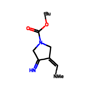 CN/C=C1/CN(C(=O)OC(C)(C)C)CC1=N